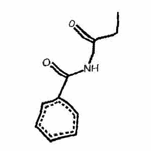 CCC(=O)NC(=O)c1ccccc1